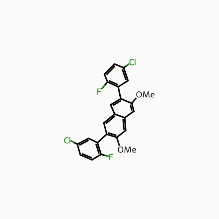 COc1cc2cc(OC)c(-c3cc(Cl)ccc3F)cc2cc1-c1cc(Cl)ccc1F